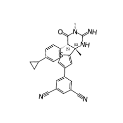 CN1C(=N)N[C@](C)(c2cc(-c3cc(C#N)cc(C#N)c3)cs2)[C@H](c2ccc(C3CC3)cc2)C1=O